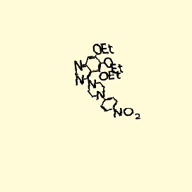 CCOc1cc2ncnc(N3CCN(c4ccc([N+](=O)[O-])cc4)CC3)c2c(OCC)c1OCC